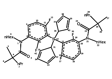 CCCCCCN(C(=O)C(C)(C)CCC)c1ccc(F)[c]([Ti]([c]2c(F)ccc(N(CCCCCC)C(=O)C(C)(C)CCC)c2F)([CH]2C=CC=C2)[CH]2C=CC=C2)c1F